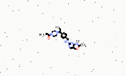 C=CC(=O)N1CCN(C(CC(C)C)c2ccc(CNc3ncc4c(n3)N(CC)C(=C)OC4)cc2)CC1